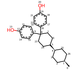 C[C@H]1CC[C@@H](C2CCC(c3ccc(O)cc3)(c3ccc(O)cc3)CC2)CC1